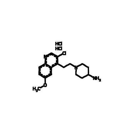 COc1ccc2ncc(Cl)c(CCN3CCC(N)CC3)c2c1.Cl.Cl